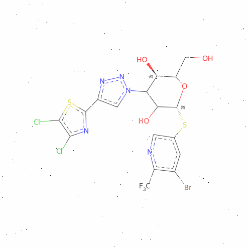 OCC1O[C@H](Sc2cnc(C(F)(F)F)c(Br)c2)C(O)C(n2cc(-c3nc(Cl)c(Cl)s3)nn2)[C@H]1O